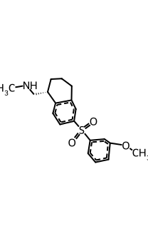 CNC[C@@H]1CCCc2cc(S(=O)(=O)c3cccc(OC)c3)ccc21